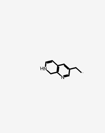 [CH2]Cc1cnc2c(c1)C=CNC2